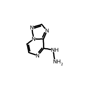 NNc1nccn2ncnc12